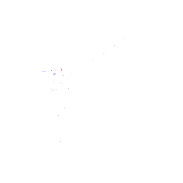 CCCCCCCCCCCC(=O)C(CC)(CN)C(=O)CCCCCCCCCCC